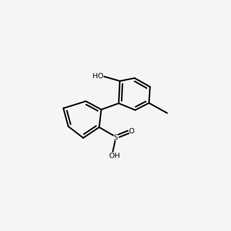 Cc1ccc(O)c(-c2ccccc2S(=O)O)c1